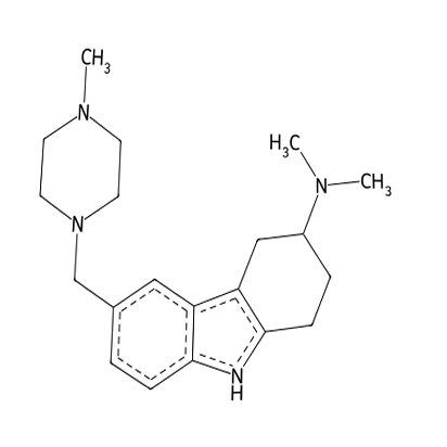 CN1CCN(Cc2ccc3[nH]c4c(c3c2)CC(N(C)C)CC4)CC1